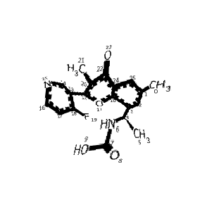 Cc1cc([C@@H](C)NC(=O)O)c2oc(-c3cnccc3F)c(C)c(=O)c2c1